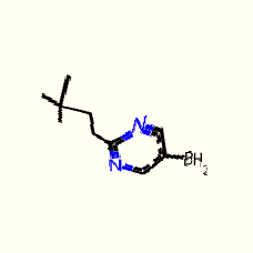 Bc1cnc(CCC(C)(C)C)nc1